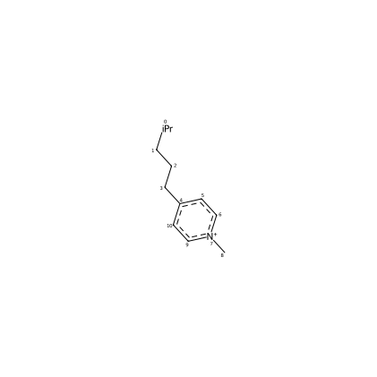 CC(C)CCCc1cc[n+](C)cc1